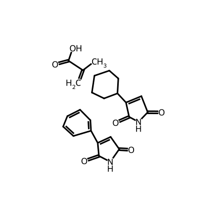 C=C(C)C(=O)O.O=C1C=C(C2CCCCC2)C(=O)N1.O=C1C=C(c2ccccc2)C(=O)N1